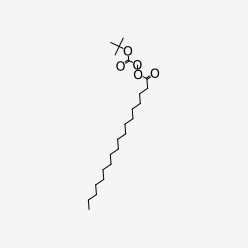 CCCCCCCCCCCCCCCCCC(=O)OOC(=O)OC(C)(C)C